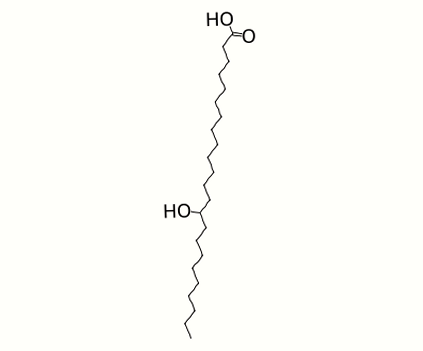 CCCCCCCCCC(O)CCCCCCCCCCCCC(=O)O